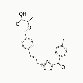 Cc1ccc(C(=O)c2ccn(C/C=C/c3ccc(CO[C@H](C)C(=O)O)cc3)n2)cc1